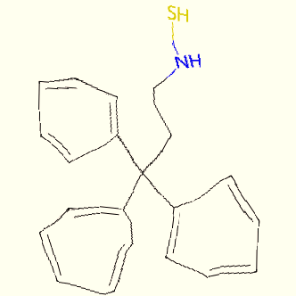 SNCCC(c1ccccc1)(c1ccccc1)c1ccccc1